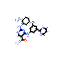 Cc1cc(Nc2nc(N[C@@H]3CCCC[C@@H]3N)ncc2C(N)=O)cc(-c2ncccn2)c1